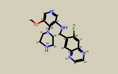 COc1cncc(NCc2cc3nccnc3cc2F)c1N1CCNCC1